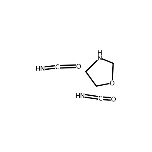 C1COCN1.N=C=O.N=C=O